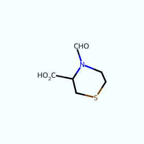 O=CN1CCSCC1C(=O)O